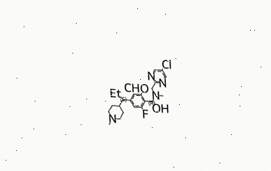 CC[C@H](c1cc(F)c([C@@H](O)N(C)Cc2ncc(Cl)cn2)c(C=O)c1)C1CCN(C)CC1